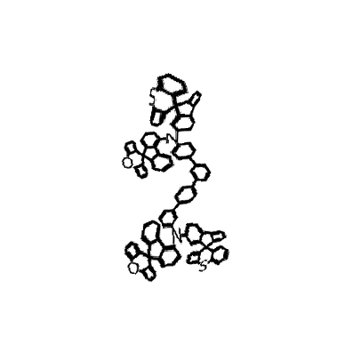 c1cc(-c2ccc(-c3cccc(N(c4ccc5c(c4)C4(c6ccccc6Sc6ccccc64)c4ccccc4-5)c4cccc5c4-c4ccccc4C54c5ccccc5Oc5ccccc54)c3)cc2)cc(-c2ccc(N(c3ccc4c(c3)C3(c5ccccc5Sc5ccccc53)c3ccccc3-4)c3cccc4c3-c3ccccc3C43c4ccccc4Oc4ccccc43)cc2)c1